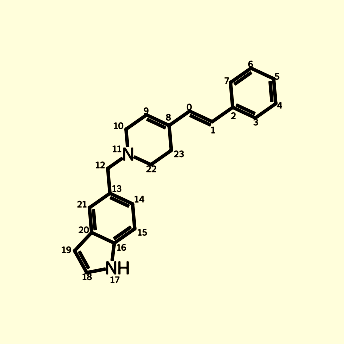 C(=Cc1ccccc1)C1=CCN(Cc2ccc3[nH]ccc3c2)CC1